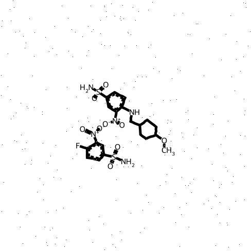 COC1CCC(CNc2ccc(S(N)(=O)=O)cc2[N+](=O)[O-])CC1.NS(=O)(=O)c1ccc(F)c([N+](=O)[O-])c1